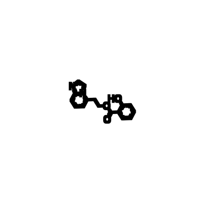 O=C(OCCc1cccc2nccn12)c1ccccc1O